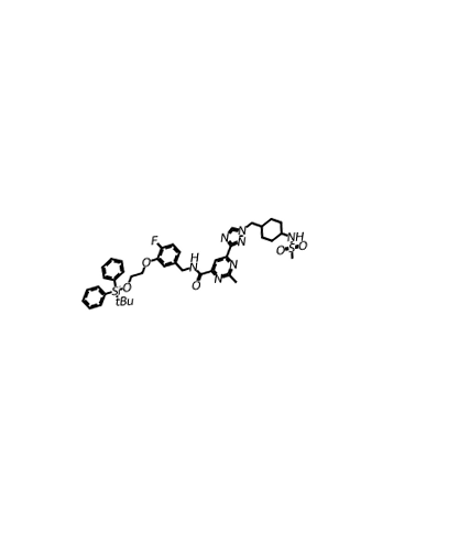 Cc1nc(C(=O)NCc2ccc(F)c(OCCO[Si](c3ccccc3)(c3ccccc3)C(C)(C)C)c2)cc(-c2ncn(CC3CCC(NS(C)(=O)=O)CC3)n2)n1